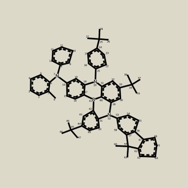 Cc1ccccc1N(c1ccccc1)c1ccc2c(c1)N(c1ccc(C(C)(C)C)cc1)c1cc(C(C)(C)C)cc3c1B2c1cc(C(C)(C)C)ccc1N3c1ccc2c(c1)C(C)(C)c1ccccc1-2